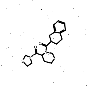 O=C(C1CCCCN1C(=O)C1CCc2ccccc2C1)N1CCSC1